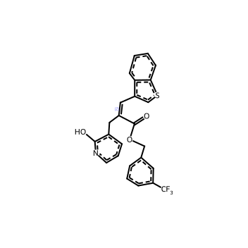 O=C(OCc1cccc(C(F)(F)F)c1)/C(=C\c1csc2ccccc12)Cc1cccnc1O